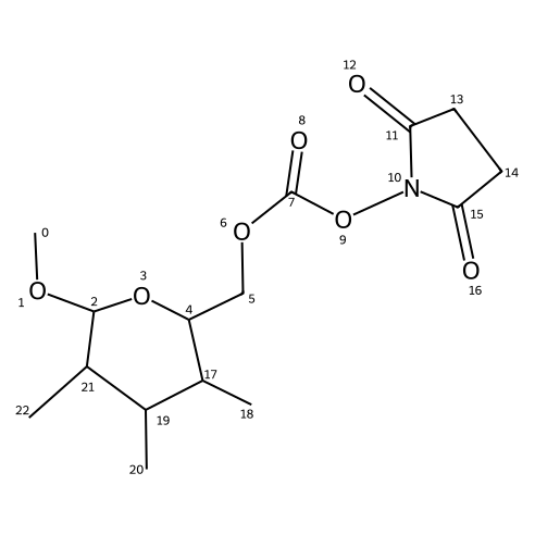 COC1OC(COC(=O)ON2C(=O)CCC2=O)C(C)C(C)C1C